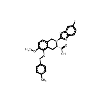 COc1ccc2c(c1OCc1ccc(C)cc1)C[C@@H](C(=O)O)N(c1nc3ccc(F)cc3o1)C2